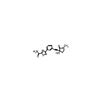 CN1CCC(O)(C#Cc2cccc(-c3nsc(C(N)=O)n3)c2)C1=O